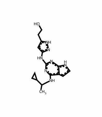 CC(Nc1nc(Nc2cc(CCO)[nH]n2)nc2[nH]ccc12)C1CC1